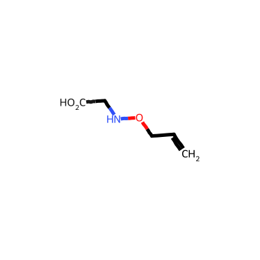 C=CCONCC(=O)O